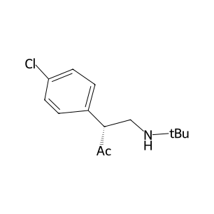 CC(=O)[C@@H](CNC(C)(C)C)c1ccc(Cl)cc1